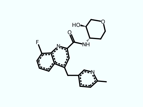 Cc1ccc(Cc2cc(C(=O)N[C@H]3CCOC[C@@H]3O)nc3c(F)cccc23)cn1